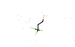 BCCC(F)(F)F